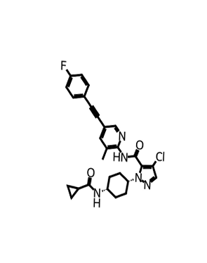 Cc1cc(C#Cc2ccc(F)cc2)cnc1NC(=O)c1c(Cl)cnn1[C@H]1CC[C@@H](NC(=O)C2CC2)CC1